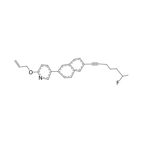 C=CCOc1ccc(-c2ccc3cc(C#CCCCC(C)F)ccc3c2)cn1